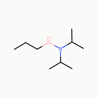 C[CH]CBN(C(C)C)C(C)C